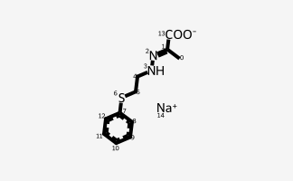 CC(=NNCCSc1ccccc1)C(=O)[O-].[Na+]